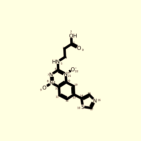 O=C(O)CCNc1n[n+]([O-])c2ccc(-c3cncs3)cc2[n+]1[O-]